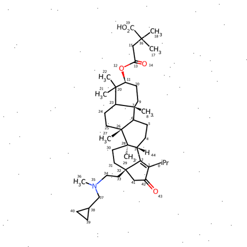 CC(C)C1=C2[C@H]3CCC4[C@@]5(C)CC[C@H](OC(=O)CC(C)(C)C(=O)O)C(C)(C)C5CC[C@@]4(C)[C@]3(C)CC[C@@]2(CCN(C)CC2CC2)CC1=O